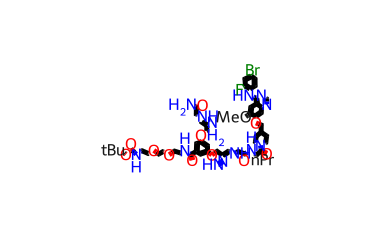 CCCC(NC(=O)CN/C=C(/COc1cc(OC/C(N)=C/NCC(N)=O)cc(C(=O)NCCOCCOCCNC(=O)OC(C)(C)C)c1)N=N)C(=O)N1CCC(COc2cc3ncnc(Nc4ccc(Br)cc4F)c3cc2OC)CC1